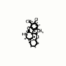 CC(OC1CCCCO1)C1(c2ccc(Cl)c(Cl)c2)CCCNC1=O